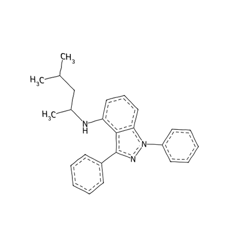 CC(C)CC(C)Nc1cccc2c1c(-c1ccccc1)nn2-c1ccccc1